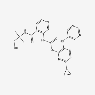 CC(C)(CO)NC(=O)c1ccncc1NC(=O)Oc1nc(C2CC2)cnc1Nc1cncnc1